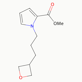 COC(=O)c1cccn1CCCC1COC1